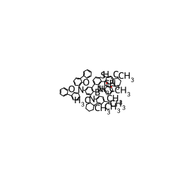 Cc1ccccc1N1B2c3cc(C(C)(C)C)cc4c3N(c3cc(N(c5cccc6c5oc5ccccc56)c5cccc6c5oc5ccccc56)cc(c32)-c2ccc3sc5cc6c(cc5c3c21)C(C)(C)CCC6(C)C)C1(C)CCCCC41C